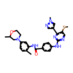 CSc1cnc(Nc2ccc(C(=O)Nc3cc(N4CCOC(C)C4)ccc3C)cc2)nc1-c1cnn(C)c1